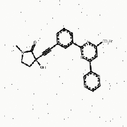 CCOC(=O)c1cc(-c2cnccn2)nc(-c2cccc(C#C[C@]3(O)CCN(C)C3=O)c2)n1